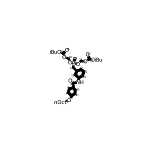 CCCCCCCCOc1ccc(C(=O)Nc2cccc(CP(=O)(OCOC(=O)OCC(C)C)OCOC(=O)OCC(C)C)c2)cc1